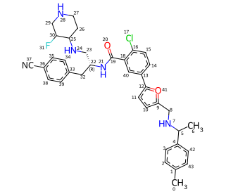 Cc1ccc(C(C)NCc2ccc(-c3ccc(Cl)c(C(=O)N[C@@H](CNC4CCNCC4F)Cc4ccc(C#N)cc4)c3)o2)cc1